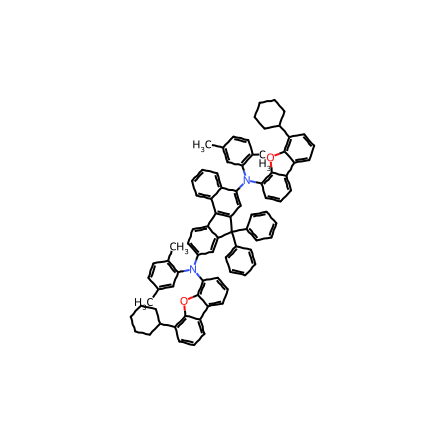 Cc1ccc(C)c(N(c2ccc3c(c2)C(c2ccccc2)(c2ccccc2)c2cc(N(c4cc(C)ccc4C)c4cccc5c4oc4c(C6CCCCC6)cccc45)c4ccccc4c2-3)c2cccc3c2oc2c(C4CCCCC4)cccc23)c1